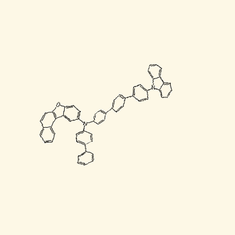 c1ccc(-c2ccc(N(c3ccc(-c4ccc(-c5ccc(-n6c7ccccc7c7ccccc76)cc5)cc4)cc3)c3ccc4oc5ccc6ccccc6c5c4c3)cc2)cc1